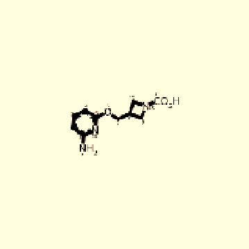 Nc1cccc(OCC2CN(C(=O)O)C2)n1